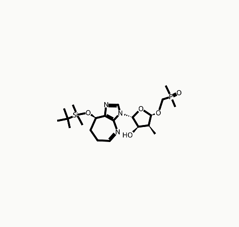 C[C@@H]1[C@@H](OCP(C)(C)=O)O[C@@H](n2cnc3c2N=CCC[C@H]3O[Si](C)(C)C(C)(C)C)[C@@H]1O